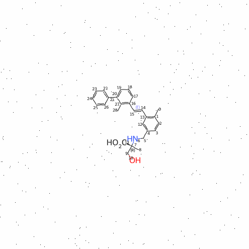 Cc1ccc(CN[C@](C)(CO)C(=O)O)cc1/C=C/c1cccc(-c2ccccc2)c1C